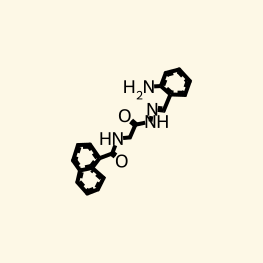 Nc1ccccc1C=NNC(=O)CNC(=O)c1cccc2ccccc12